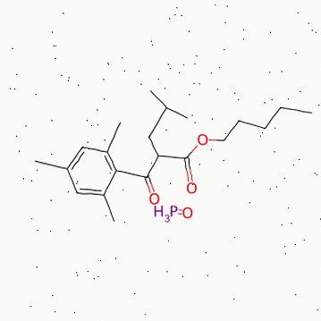 CCCCCOC(=O)C(CC(C)C)C(=O)c1c(C)cc(C)cc1C.O=[PH3]